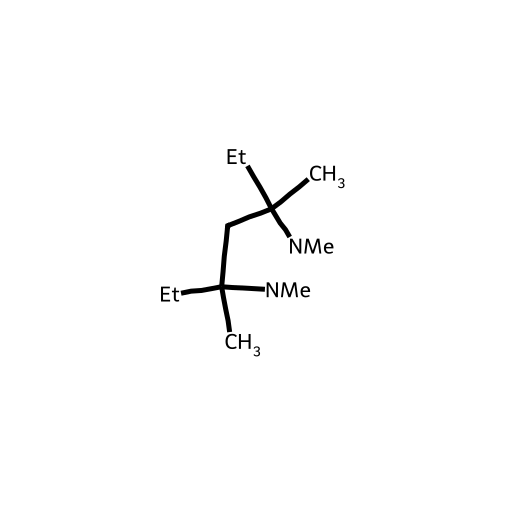 CCC(C)(CC(C)(CC)NC)NC